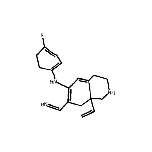 C=CC12CNCCC1=CC(NC1=CC=C(F)CC1)=C(C=N)C2